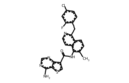 Cc1ccc2c(Cc3ccc(Cl)cc3F)nccc2c1NC(=O)c1csc2c(N)ncnc12